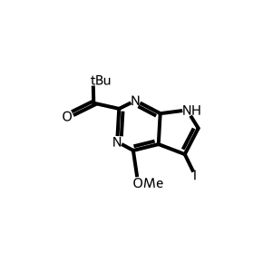 COc1nc(C(=O)C(C)(C)C)nc2[nH]cc(I)c12